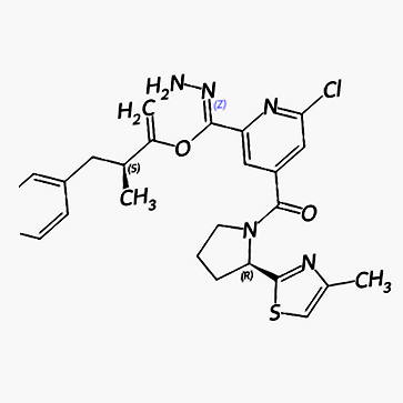 C=C(O/C(=N\N)c1cc(C(=O)N2CCC[C@@H]2c2nc(C)cs2)cc(Cl)n1)[C@@H](C)Cc1ccccc1